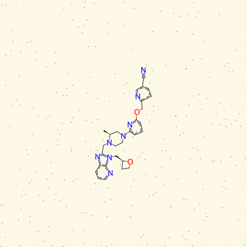 C[C@H]1CN(c2cccc(OCc3ccc(C#N)cn3)n2)CCN1Cc1nc2cccnc2n1C[C@@H]1CCO1